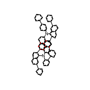 c1ccc(-c2ccc(N(c3c(-c4ccccc4)ccc4ccc(-c5ccccc5)cc34)c3ccc4ccc5c(N(c6ccccc6-c6ccccc6)c6c(-c7ccccc7)ccc7ccc(-c8ccccc8)cc67)ccc6ccc3c4c65)cc2)cc1